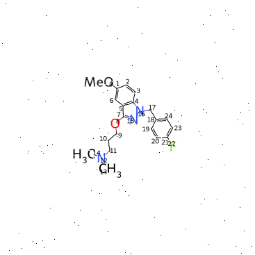 COc1ccc2c(c1)c(OCCCN(C)C)nn2Cc1ccc(F)cc1